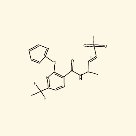 CC(/C=C/S(C)(=O)=O)NC(=O)c1ccc(C(C)(F)F)nc1Oc1ccccc1